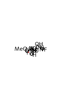 COc1cccc(-c2nnc(NS(=O)(=O)C3CC(O)CN(c4ncc(F)cn4)C3)n2-c2c(F)cccc2F)n1